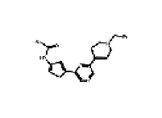 CCCCC(=O)Nc1csc(-c2cncc(C3=CCN(C[C](C)C)CC3)n2)c1